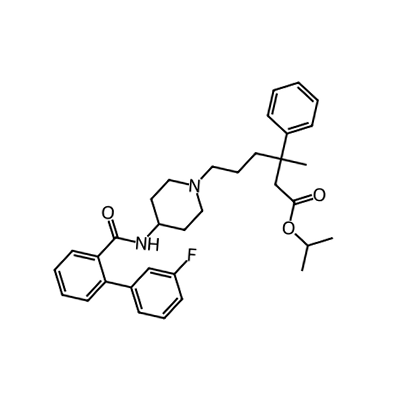 CC(C)OC(=O)CC(C)(CCCN1CCC(NC(=O)c2ccccc2-c2cccc(F)c2)CC1)c1ccccc1